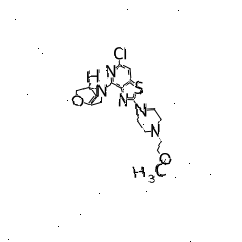 COCCN1CCN(c2nc3c(N4CC5=C[C@@H]4CO5)nc(Cl)cc3s2)CC1